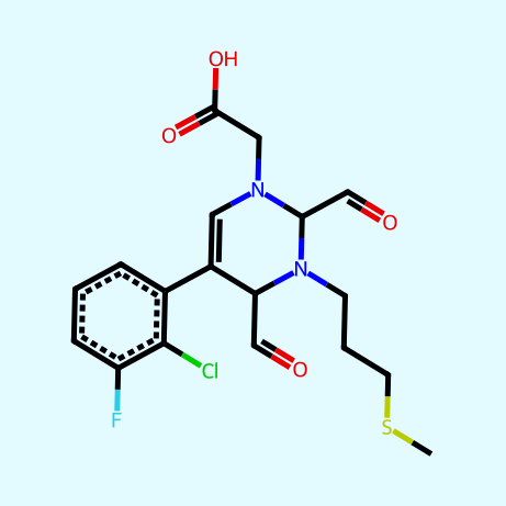 CSCCCN1C(C=O)C(c2cccc(F)c2Cl)=CN(CC(=O)O)C1C=O